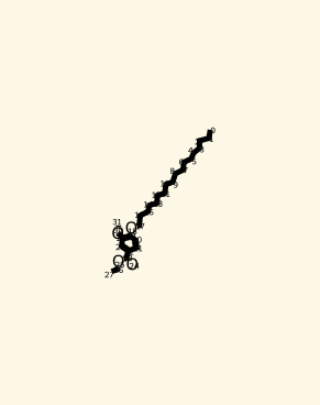 CCCCCCCCCCCCCCCCCCOc1ccc(C(=O)OCC)cc1OC